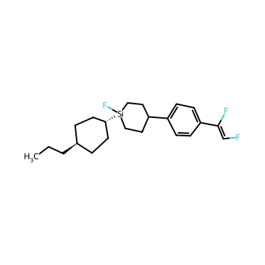 CCC[C@H]1CC[C@H]([Si]2(F)CCC(c3ccc(C(F)=CF)cc3)CC2)CC1